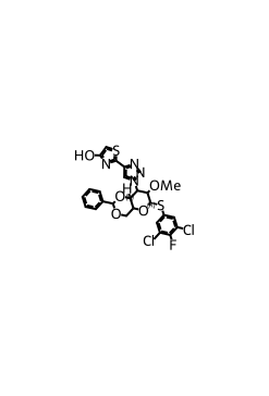 COC1C(n2cc(-c3nc(O)cs3)nn2)[C@H]2OC(c3ccccc3)OCC2O[C@@H]1Sc1cc(Cl)c(F)c(Cl)c1